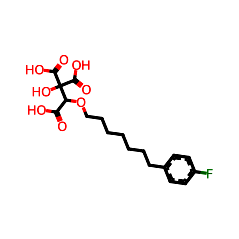 O=C(O)C(OCCCCCCCc1ccc(F)cc1)C(O)(C(=O)O)C(=O)O